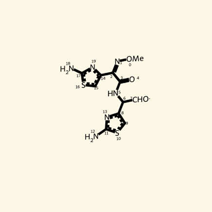 CO/N=C(\C(=O)NC([C]=O)c1csc(N)n1)c1csc(N)n1